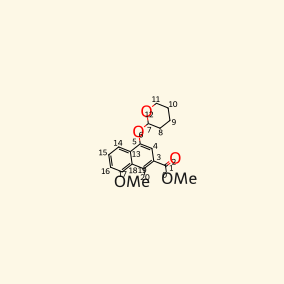 COC(=O)c1cc(OC2CCCCO2)c2ccccc2c1OC